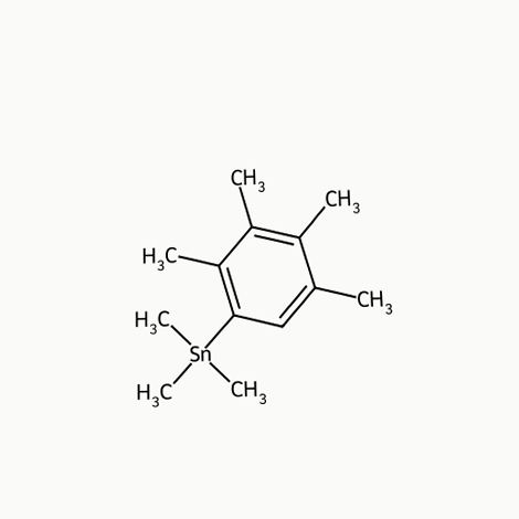 Cc1c[c]([Sn]([CH3])([CH3])[CH3])c(C)c(C)c1C